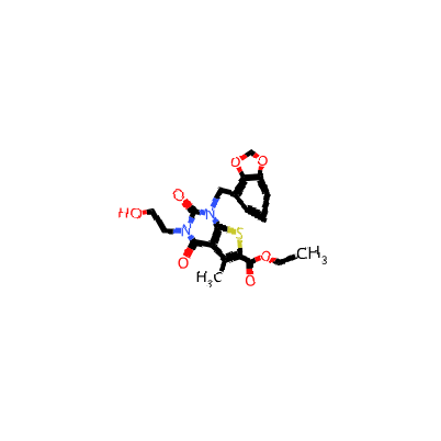 CCOC(=O)c1sc2c(c1C)c(=O)n(CCO)c(=O)n2Cc1cccc2c1OCO2